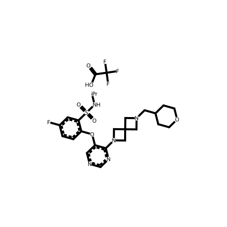 CC(C)NS(=O)(=O)c1cc(F)ccc1Oc1cncnc1N1CC2(CN(CC3CCOCC3)C2)C1.O=C(O)C(F)(F)F